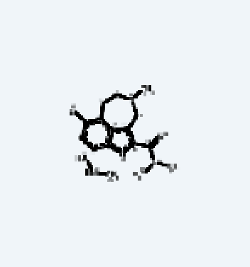 CN1CCc2c(Cl)ccc3oc(C(=O)N(C)C)c(c23)C1.CNC